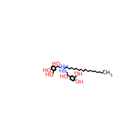 CCCCCCCCCCCCCCCCCC(NCC(O)c1ccc(O)c(CO)c1)NCC(O)c1ccc(O)c(CO)c1